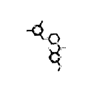 COc1ccc(F)c([C@@H](C)N2CCC[C@H](Cc3cc(C)nc(C)c3)C2)n1